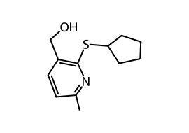 Cc1ccc(CO)c(SC2CCCC2)n1